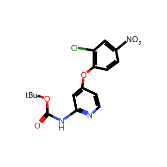 CC(C)(C)OC(=O)Nc1cc(Oc2ccc([N+](=O)[O-])cc2Cl)ccn1